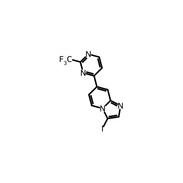 FC(F)(F)c1nccc(-c2ccn3c(I)cnc3c2)n1